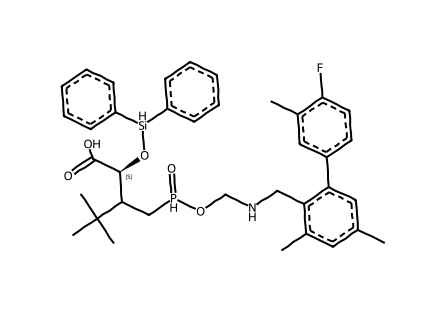 Cc1cc(C)c(CNCO[PH](=O)CC([C@H](O[SiH](c2ccccc2)c2ccccc2)C(=O)O)C(C)(C)C)c(-c2ccc(F)c(C)c2)c1